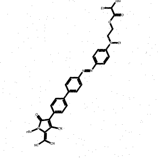 CCCCC(CC)C(=O)OCCN(CC)c1ccc(/N=N/c2ccc(-c3ccc(C4=C(C#N)C(=C(C#N)C#N)N(CCCC)C4=O)cc3)cc2)cc1